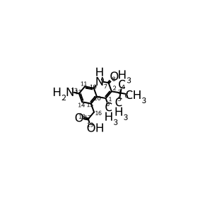 Cc1c(C(C)(C)C)c(=O)[nH]c2cc(N)cc(CC(=O)O)c12